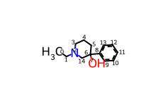 CCN1CCCC(O)(c2ccccc2)C1